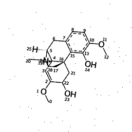 COC1=C[C@@H]2[C@@H]3Cc4ccc(OC)c(O)c4[C@]2(CCN3C)CC1O